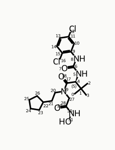 CC(C)(C)[C@H](NC(=O)Nc1cc(Cl)ccc1Cl)C(=O)N(CCC1CCCC1)CC(=O)NO